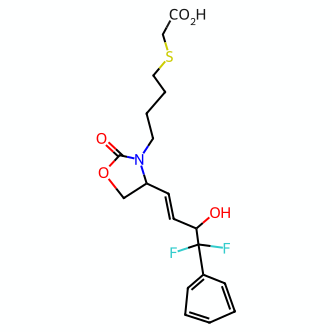 O=C(O)CSCCCCN1C(=O)OCC1/C=C/C(O)C(F)(F)c1ccccc1